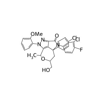 COc1ccccc1-n1nc2c3c1C(C)OC(CO)CC3(c1ccc(Cl)cc1)N(c1ccc(F)c(Cl)c1)C2=O